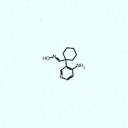 Nc1ccncc1C1(C=NO)CCCCC1